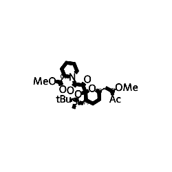 COC(=O)[C@@H]1CCCCN1C(=O)C(=O)C1(O[Si](C)(C)C(C)(C)C)O[C@H](C[C@H](OC)C(C)=O)CC[C@H]1C